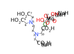 O=C(O)CN(CCN(CC(=O)O)CC(=O)O)CC(=O)O.OCl.[NaH].[NaH].[NaH].[O]=[Mn](=[O])(=[O])[OH]